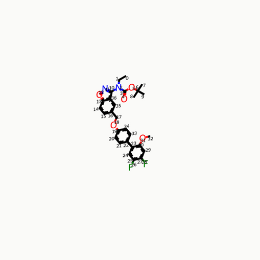 CCN(C(=O)OC(C)(C)C)c1noc2ccc(COc3ccc(-c4cc(F)c(F)cc4OC)cc3)cc12